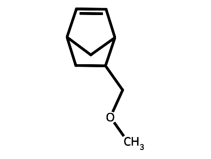 COCC1CC2C=CC1C2